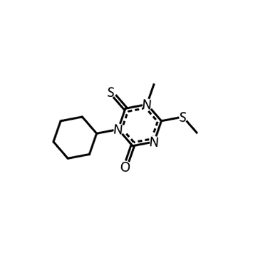 CSc1nc(=O)n(C2CCCCC2)c(=S)n1C